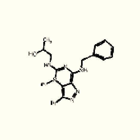 CC(O)CNc1nc(NCc2ccccc2)c2nnc(C(C)C)c-2n1C(C)C